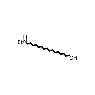 CCNCCCCCCCCCCCCCCCCO